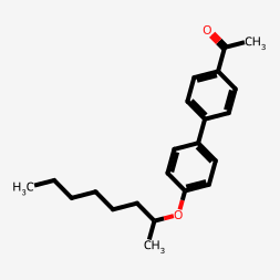 CCCCCCC(C)Oc1ccc(-c2ccc(C(C)=O)cc2)cc1